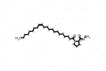 CCCCCCCC/C=C\CCCCCCCCCCCC(=O)N1CCCC1C(=O)OC